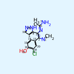 C=N/C(=C(\N=C(/C)N)c1ccn[nH]1)c1ccc(O)c(Cl)c1